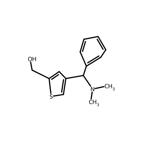 CN(C)C(c1ccccc1)c1csc(CO)c1